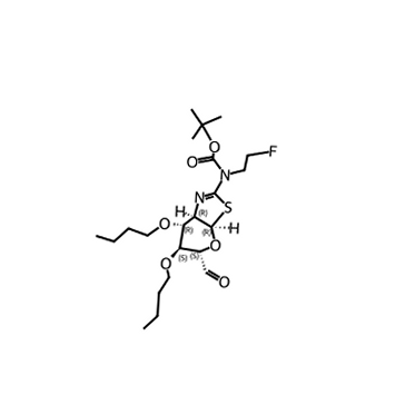 CCCCO[C@@H]1[C@H]2N=C(N(CCF)C(=O)OC(C)(C)C)S[C@H]2O[C@H](C=O)[C@H]1OCCCC